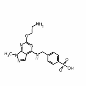 Cn1ncc2c(NCc3ccc(S(=O)(=O)O)cc3)nc(OCCN)nc21